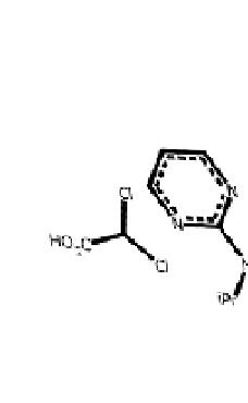 CC(C)Nc1ncccn1.O=C(O)C(Cl)Cl